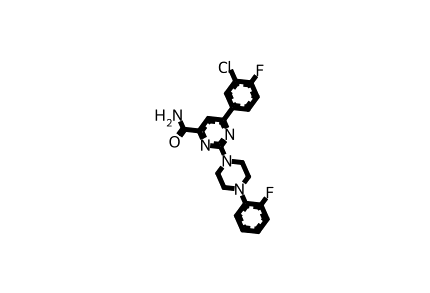 NC(=O)c1cc(-c2ccc(F)c(Cl)c2)nc(N2CCN(c3ccccc3F)CC2)n1